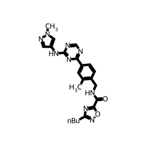 CCCCc1noc(C(=O)NCc2ccc(-c3ncnc(Nc4cnn(C)c4)n3)cc2C)n1